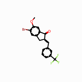 COc1cc2c(cc1Br)C/C(=C\c1cccc(C(F)(F)F)c1)C2=O